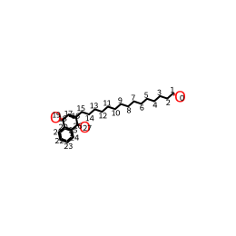 O=CCCCCCCCCCCCCCCC1=CC(=O)c2ccccc2C1=O